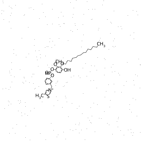 CCCCCCCCCCCCCCOc1c(O)ccc(O[PH](=O)Oc2cccc(C[n+]3csc(C)c3)c2)c1OC